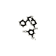 Oc1cc(Nc2ccc3ncc(-c4ccncc4)n3n2)cc(C(F)(F)F)c1